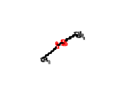 CCCCCCCCCCC=COC(=O)CCC(=O)OCCCCCCC(C)C